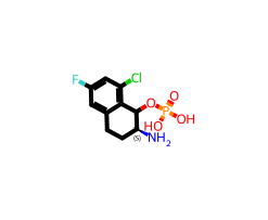 N[C@H]1CCc2cc(F)cc(Cl)c2C1OP(=O)(O)O